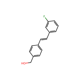 OCc1ccc(C=Cc2cccc(F)c2)cc1